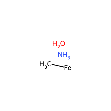 N.O.[CH3][Fe]